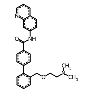 CN(C)CCOCc1ccccc1-c1ccc(C(=O)Nc2ccc3cccnc3c2)cc1